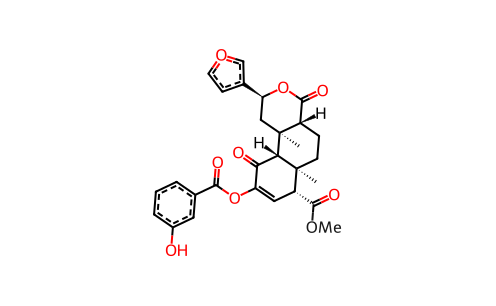 COC(=O)[C@@H]1C=C(OC(=O)c2cccc(O)c2)C(=O)[C@H]2[C@@]1(C)CC[C@H]1C(=O)O[C@H](c3ccoc3)C[C@]21C